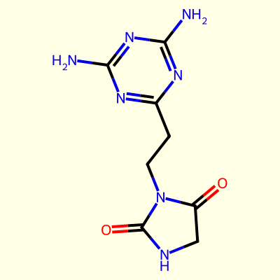 Nc1nc(N)nc(CCN2C(=O)CNC2=O)n1